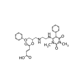 Cn1c(NCCNCC(COc2ccccc2)OC(=O)/C=C/C(=O)O)c(-c2ccccc2)c(=O)n(C)c1=O